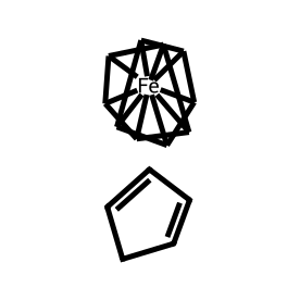 C1=CCC=C1.[CH]12[CH]3[CH]4[CH]5[CH]1[Fe]23451678[CH]2[CH]1[CH]6[CH]7[CH]28